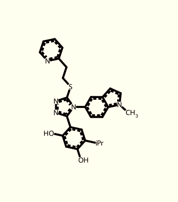 CC(C)c1cc(-c2nnc(SCCc3ccccn3)n2-c2ccc3c(ccn3C)c2)c(O)cc1O